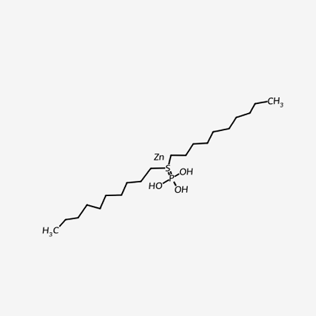 CCCCCCCCCCS(CCCCCCCCCC)=P(O)(O)O.[Zn]